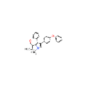 CC1(C)Cn2[c]c(-c3ccc(Oc4ccccc4)cc3)c(-c3ccccc3)c2C1C=O